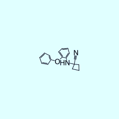 N#CC1(Nc2ccccc2Oc2ccccc2)CCC1